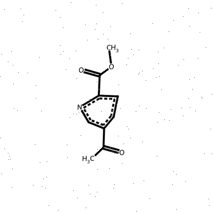 COC(=O)c1ccc(C(C)=O)cn1